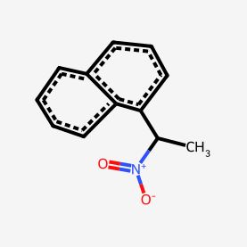 CC(c1cccc2ccccc12)[N+](=O)[O-]